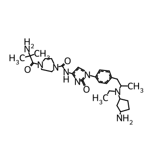 CCN(C(C)Cc1ccc(-n2ccc(NC(=O)N3CCN(C(=O)C(C)(C)N)CC3)nc2=O)cc1)C1CC[C@@H](N)C1